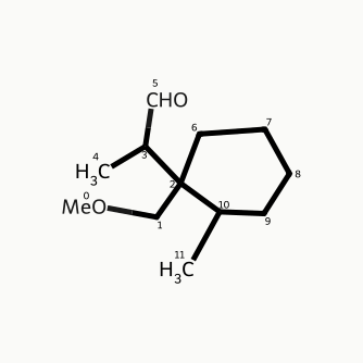 COCC1(C(C)C=O)CCCCC1C